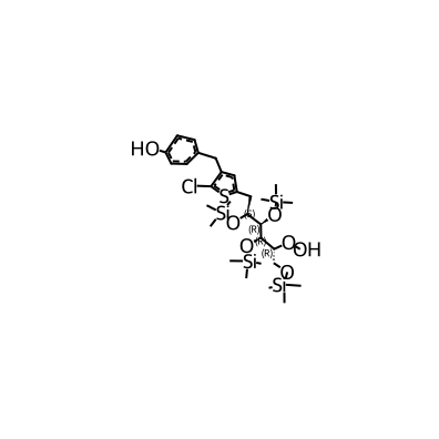 C[Si](C)(C)OC[C@@H](OO)[C@@H](O[Si](C)(C)C)[C@H](O[Si](C)(C)C)[C@H](Cc1cc(Cc2ccc(O)cc2)c(Cl)s1)O[Si](C)(C)C